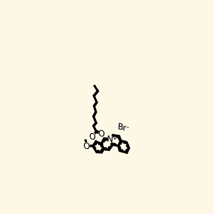 CCCCCCCCCC(=O)Oc1c(OC)ccc2cc3c4ccccc4cc[n+]3cc12.[Br-]